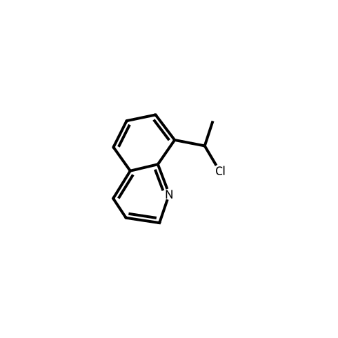 CC(Cl)c1cccc2cccnc12